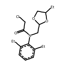 CCc1cccc(CC)c1N(CC1OCC(CC)O1)C(=O)CCl